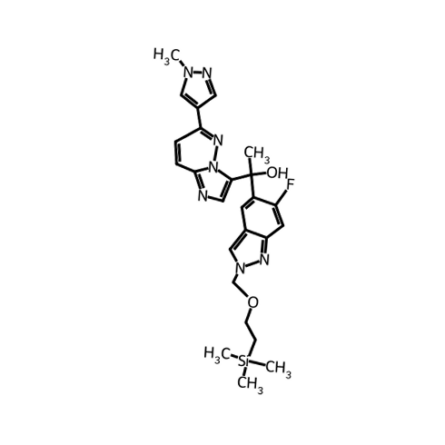 Cn1cc(-c2ccc3ncc(C(C)(O)c4cc5cn(COCC[Si](C)(C)C)nc5cc4F)n3n2)cn1